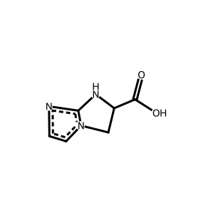 O=C(O)C1Cn2ccnc2N1